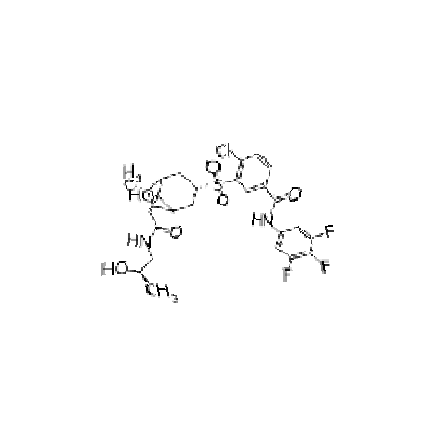 C[C@@H](O)CNC(=O)C[C@@]1(O)C2C[C@@H](S(=O)(=O)c3cc(C(=O)Nc4cc(F)c(F)c(F)c4)ccc3Cl)CC1[C@@H](C)C2